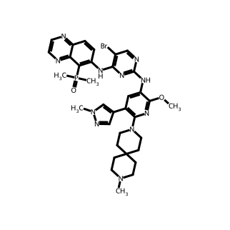 COc1nc(N2CCC3(CCN(C)CC3)CC2)c(-c2cnn(C)c2)cc1Nc1ncc(Br)c(Nc2ccc3nccnc3c2P(C)(C)=O)n1